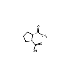 CC(=O)[C@H]1CCCN1C(=O)O